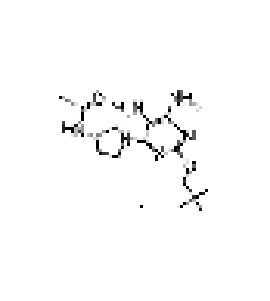 CC(=O)N[C@H]1CCN(c2nc(OCC(C)(C)C)nc(N)c2N)C1